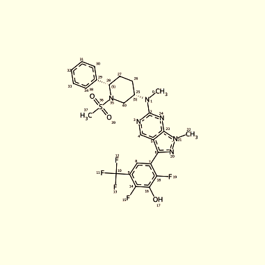 CN(c1ncc2c(-c3cc(C(F)(F)F)c(F)c(O)c3F)nn(C)c2n1)[C@H]1CC[C@@H](c2ccccc2)N(S(C)(=O)=O)C1